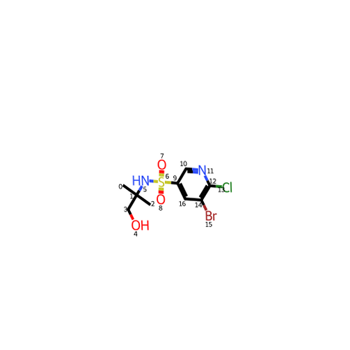 CC(C)(CO)NS(=O)(=O)c1cnc(Cl)c(Br)c1